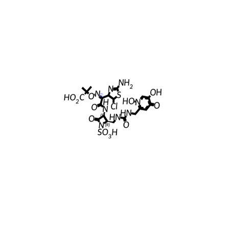 CC(C)(O/N=C(\C(=O)N[C@@H]1C(=O)N(S(=O)(=O)O)[C@@H]1CNC(=O)NCc1cc(=O)c(O)cn1O)C1N=C(N)SC1Cl)C(=O)O